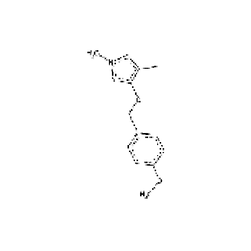 COc1ccc(COc2nn(C)cc2I)cc1